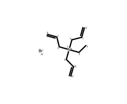 C=CC[N+](CC)(CC=C)CC=C.[Br-]